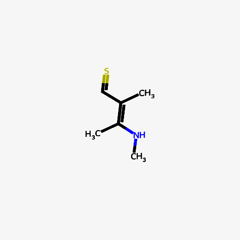 CN/C(C)=C(\C)C=S